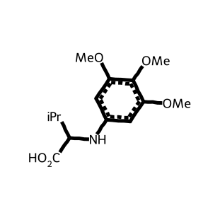 COc1cc(NC(C(=O)O)C(C)C)cc(OC)c1OC